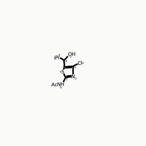 CC(=O)Nc1nc(Cl)c(C(O)C(C)C)s1